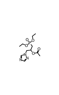 CCOP(=O)(CC(Cn1cncn1)OC(C)=O)OCC